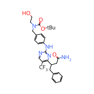 CC(C)(C)OC(=O)N(CCO)Cc1ccc(Nc2ncc(C(F)(F)F)c(C(CC(N)=O)Cc3ccccc3)n2)cc1